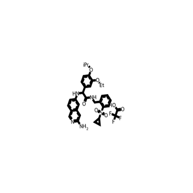 CCOc1cc(C(Nc2ccc3cnc(N)cc3c2)C(=O)NCc2ccccc2S(=O)(=O)C2CC2)ccc1OC(C)C.O=C(O)C(F)(F)F